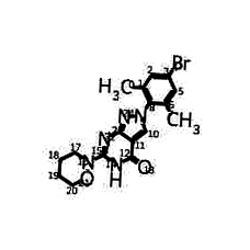 Cc1cc(Br)cc(C)c1-n1cc2c(=O)[nH]c(N3CCCCO3)nc2n1